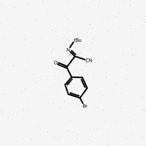 CC(C)(C)/N=C(\C#N)C(=O)c1ccc(Br)cc1